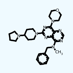 CN(Cc1ccccc1)c1ncnc2c(N3CCOCC3)nc(N3CCC(N4CCCC4)CC3)nc12